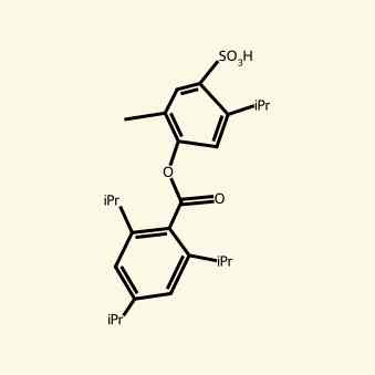 Cc1cc(S(=O)(=O)O)c(C(C)C)cc1OC(=O)c1c(C(C)C)cc(C(C)C)cc1C(C)C